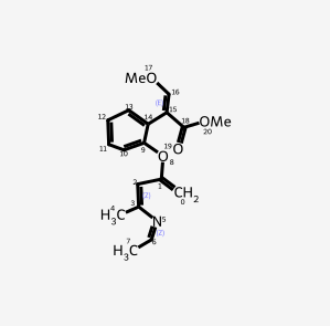 C=C(/C=C(C)\N=C/C)Oc1ccccc1/C(=C\OC)C(=O)OC